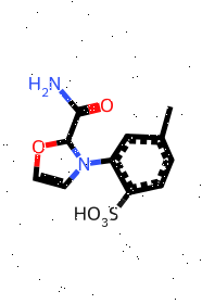 Cc1ccc(S(=O)(=O)O)c(N2C=COC2C(N)=O)c1